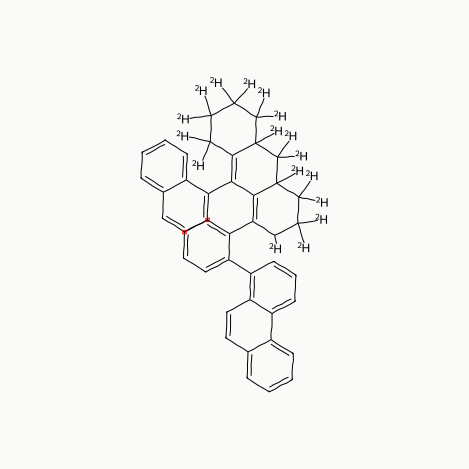 [2H]C1C(c2ccccc2-c2cccc3c2ccc2ccccc23)=C2C(c3cccc4ccccc34)=C3C([2H])([2H])C([2H])([2H])C([2H])([2H])C([2H])([2H])C3([2H])C([2H])([2H])C2([2H])C([2H])([2H])C1([2H])[2H]